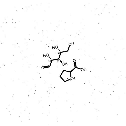 O=C(O)C1CCCN1.O=C[C@H](O)[C@H](O)[C@H](O)CO